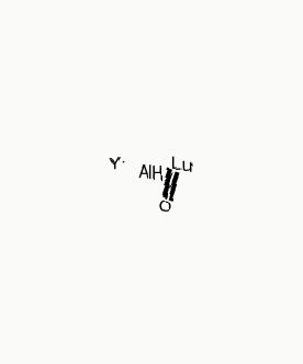 [AlH3].[O]=[Lu].[Y]